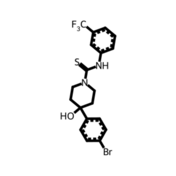 OC1(c2ccc(Br)cc2)CCN(C(=S)Nc2cccc(C(F)(F)F)c2)CC1